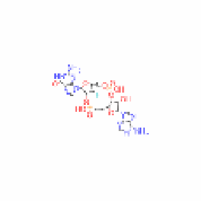 Nc1nc2c(ncn2C2OC3COP(=O)(O)OC4C(CCP(=O)(O)OC2C3F)OC(n2cnc3c(N)ncnc32)C4O)c(=O)[nH]1